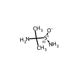 CC(C)(N)[S@+](N)[O-]